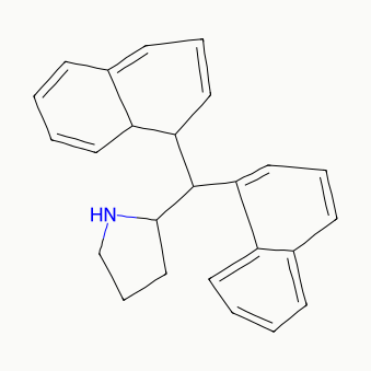 C1=CC2=CC=CC(C(c3cccc4ccccc34)C3CCCN3)C2C=C1